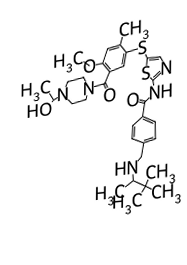 COc1cc(C)c(Sc2cnc(NC(=O)c3ccc(CNC(C)C(C)(C)C)cc3)s2)cc1C(=O)N1CCN(C(C)O)CC1